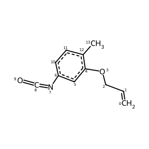 C=CCOc1cc(N=C=O)ccc1C